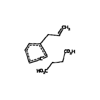 C=CCc1ccccc1.O=C(O)CCC(=O)O